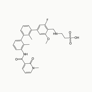 COc1cc(-c2cccc(-c3cccc(NC(=O)c4cccn(C)c4=O)c3C)c2C)cc(F)c1CNCCS(=O)(=O)O